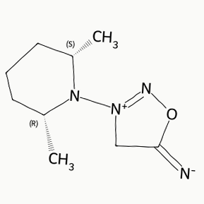 C[C@@H]1CCC[C@H](C)N1[N+]1=NOC(=[N-])C1